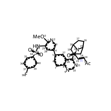 COc1ncc(-c2ccc3ncnc(N4CC5CCC(C4)N5C(=O)/C=C/C(C)=O)c3c2)cc1NS(=O)(=O)c1ccc(F)cc1